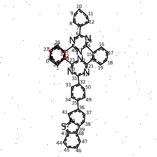 c1ccc(-c2nc(-c3ccccc3)nc(-c3ccccc3-c3nc(-c4ccccc4)nc(-c4ccc(-c5ccc6c(c5)sc5ccccc56)cc4)n3)n2)cc1